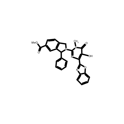 COC(=O)c1ccc2c(c1)C(c1ccccc1)N(c1nc(-c3nc4ccccc4o3)c(O)c(=O)n1C)C2